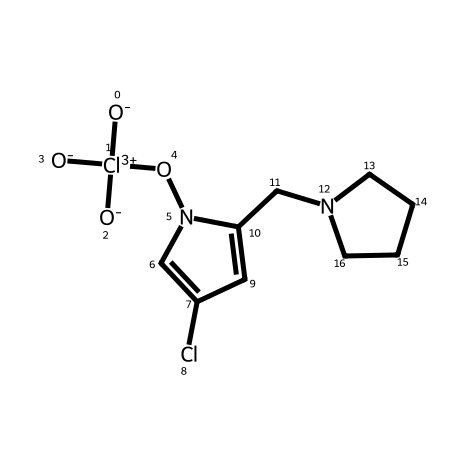 [O-][Cl+3]([O-])([O-])On1cc(Cl)cc1CN1CCCC1